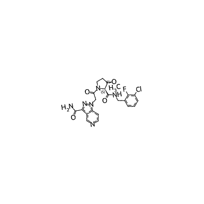 CO[C@@H]1CCN(C(=O)Cn2nc(C(N)=O)c3cnccc32)[C@@H]1C(=O)NCc1cccc(Cl)c1F